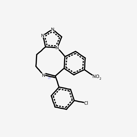 O=[N+]([O-])c1ccc2c(c1)/C(c1cccc(Cl)c1)=N\CCc1nncn1-2